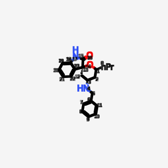 CCC[C@H]1C[C@H](NCc2ccccc2)C[C@@]2(O1)C(=O)Nc1ccccc12